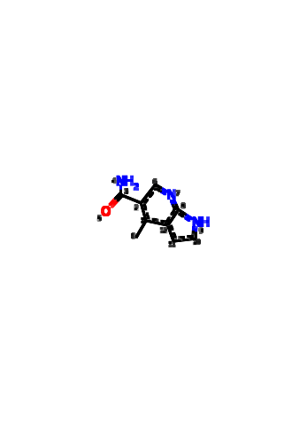 Cc1c(C(N)=O)cnc2[nH]ccc12